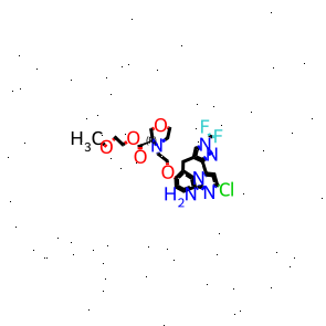 COCCOC(=O)[C@H]1COCCN1CCOc1ccccc1Cc1cn(C(F)F)nc1-c1cc(Cl)nc(N)n1